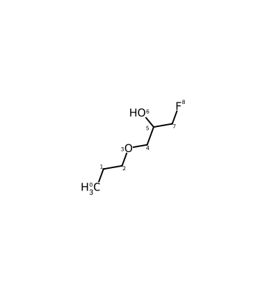 CCCOCC(O)CF